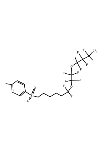 Cc1ccc(S(=O)(=O)CCCCCC(F)(F)OC(F)(F)C(F)(F)OC(F)(F)C(F)(F)C(F)(F)C(F)(F)F)cc1